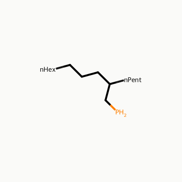 CCCCCCCCCC(CP)CCCCC